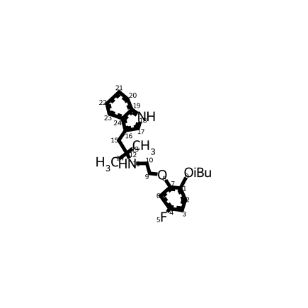 CC(C)COc1ccc(F)cc1OCCNC(C)(C)Cc1c[nH]c2ccccc12